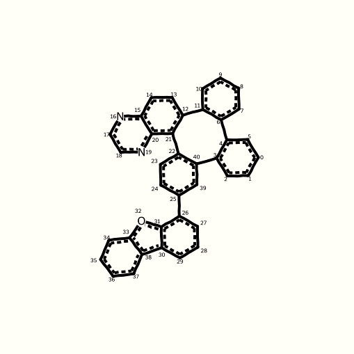 c1ccc2c(c1)-c1ccccc1-c1ccc3nccnc3c1-c1ccc(-c3cccc4c3oc3ccccc34)cc1-2